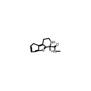 CNC(=O)C1(C)NCCC2=C3CC=CC=C3N=C21